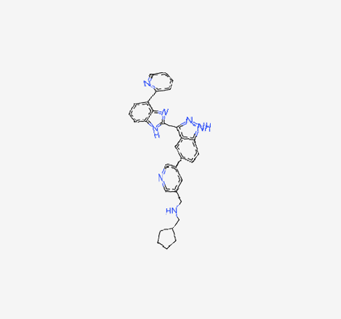 c1ccc(-c2cccc3[nH]c(-c4n[nH]c5ccc(-c6cncc(CNCC7CCCC7)c6)cc45)nc23)nc1